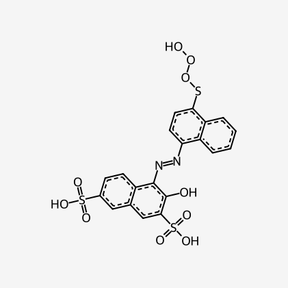 O=S(=O)(O)c1ccc2c(N=Nc3ccc(SOOO)c4ccccc34)c(O)c(S(=O)(=O)O)cc2c1